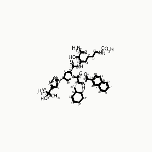 CC(C)(O)c1cn([C@H]2C[C@@H](C(=O)NC(CCCCNC(=O)O)C(O)C(N)=O)N(C(=O)[C@@H](CC3CCCCC3)NC(=O)c3ccc4ccccc4c3)C2)nn1